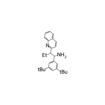 CCC(c1ccc2ccccc2n1)C(N)c1cc(C(C)(C)C)cc(C(C)(C)C)c1